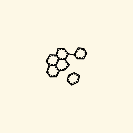 c1ccc(-c2ccc3ccc4cccc5ccc2c3c45)cc1.c1ccccc1